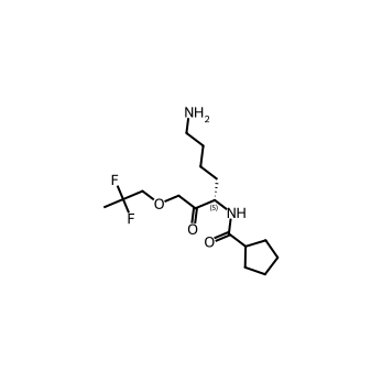 CC(F)(F)COCC(=O)[C@H](CCCCN)NC(=O)C1CCCC1